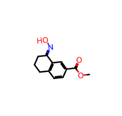 COC(=O)c1ccc2c(c1)C(=NO)CCC2